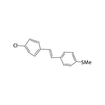 CSc1ccc(C=Cc2ccc(Cl)cc2)cc1